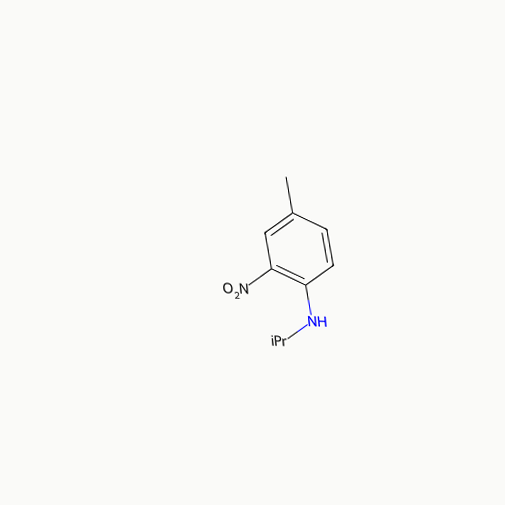 Cc1ccc(NC(C)C)c([N+](=O)[O-])c1